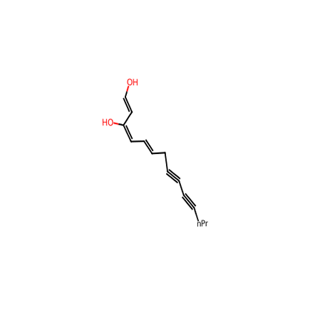 CCCC#CC#CC/C=C/C=C(O)\C=C\O